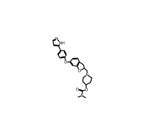 CN(C)C(=O)OC1CCN(CC2Cc3ccc(Oc4ccc(-c5ccn[nH]5)cc4)cc3O2)CC1